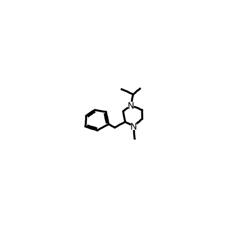 CC(C)N1CCN(C)C(Cc2ccccc2)C1